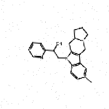 Cc1ccc2c(c1)c1c(n2CC(O)c2ccccn2)CC2CCCN2C1